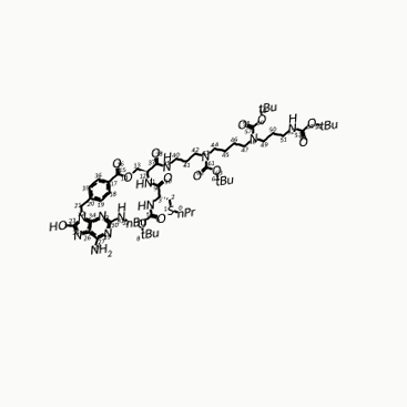 [CH2][CH]CSC[C@H](NC(=O)OC(C)(C)C)C(=O)N[C@@H](COC(=O)c1ccc(Cn2c(O)nc3c(N)nc(NCCCC)nc32)cc1)C(=O)NCCCN(CCCCN(CCCNC(=O)OC(C)(C)C)C(=O)OC(C)(C)C)C(=O)OC(C)(C)C